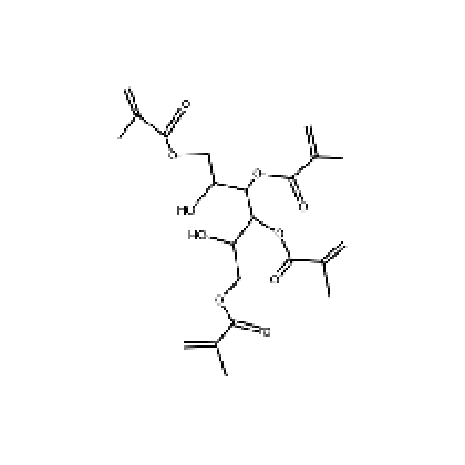 C=C(C)C(=O)OCC(O)C(OC(=O)C(=C)C)C(OC(=O)C(=C)C)C(O)COC(=O)C(=C)C